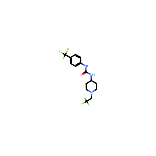 O=C(Nc1ccc(C(F)(F)F)cc1)NC1CCN(CC(F)(F)F)CC1